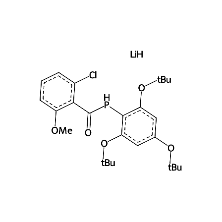 COc1cccc(Cl)c1C(=O)Pc1c(OC(C)(C)C)cc(OC(C)(C)C)cc1OC(C)(C)C.[LiH]